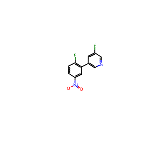 O=[N+]([O-])c1ccc(F)c(-c2cncc(F)c2)c1